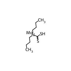 CCCCN(CCCC)C(=S)S.[Mo]